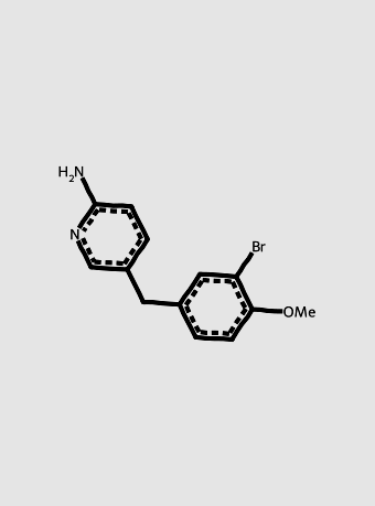 COc1ccc(Cc2ccc(N)nc2)cc1Br